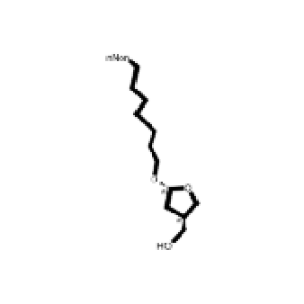 CCCCCCCCCCCCCCCCO[C@H]1C[C@H](CO)CO1